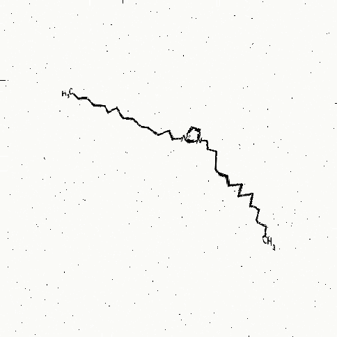 CCCCCCCCCCCCCCn1cc[n+](CCCCCCCCCCCCCC)c1